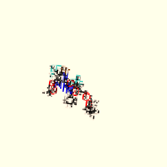 C[C@@H](COCCC[C@@](OCc1ccccc1)(c1nnc(-c2nc(Br)c(C(F)(F)F)cc2NC(=O)OC(C)(C)C)o1)C(F)(F)F)O[Si](C)(C)C(C)(C)C